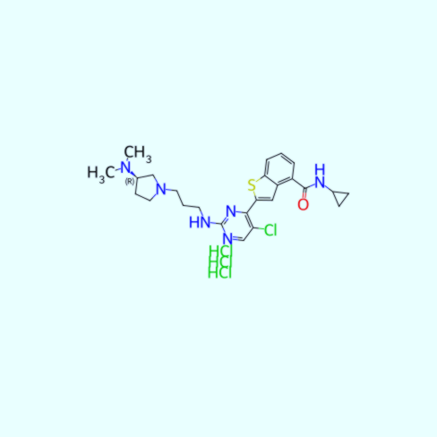 CN(C)[C@@H]1CCN(CCCNc2ncc(Cl)c(-c3cc4c(C(=O)NC5CC5)cccc4s3)n2)C1.Cl.Cl.Cl